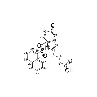 O=C(O)CCCc1cc2cc(Cl)ccc2n1S(=O)(=O)c1cccc2ccccc12